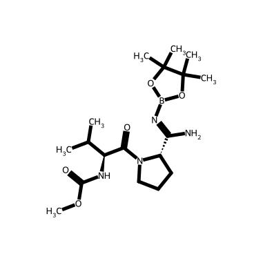 COC(=O)N[C@H](C(=O)N1CCC[C@H]1/C(N)=N/B1OC(C)(C)C(C)(C)O1)C(C)C